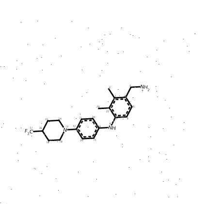 Cc1c(CN)ccc(Nc2ccc(N3CCC(C(F)(F)F)CC3)cc2)c1C